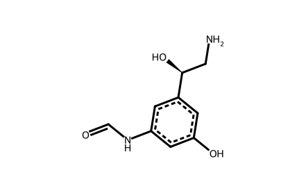 NC[C@H](O)c1cc(O)cc(NC=O)c1